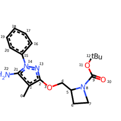 Cc1c(OCC2CCN2C(=O)OC(C)(C)C)nn(-c2ccccc2)c1N